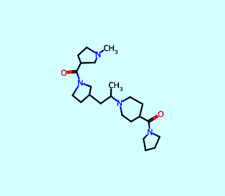 CC(CC1CCN(C(=O)C2CCN(C)C2)C1)N1CCC(C(=O)N2CCCC2)CC1